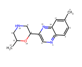 Cc1ccc2ncc(C3CNCC(C)O3)nc2c1